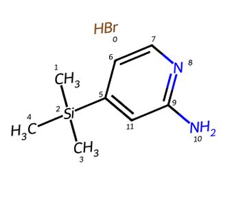 Br.C[Si](C)(C)c1ccnc(N)c1